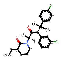 CC[C@](C)(C(=O)[C@H](c1cccc(Cl)c1)C(C)(C)c1ccc(Cl)cc1)N1CCCC(CC(=O)O)C1=O